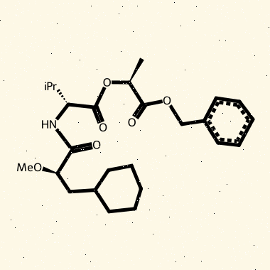 CO[C@H](CC1CCCCC1)C(=O)N[C@@H](C(=O)O[C@@H](C)C(=O)OCc1ccccc1)C(C)C